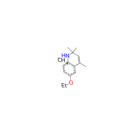 C.CCOc1ccc2c(c1)C(C)=CC(C)(C)N2